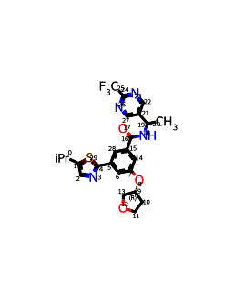 CC(C)c1cnc(-c2cc(O[C@@H]3CCOC3)cc(C(=O)NC(C)c3cnc(C(F)(F)F)nc3)c2)s1